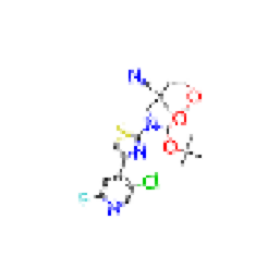 CC(C)(C)OC(=O)N(CC1(C#N)CCOCC1)c1nc(-c2cc(F)ncc2Cl)cs1